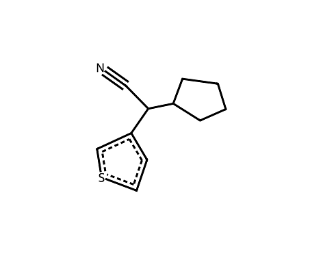 N#CC(c1ccsc1)C1CCCC1